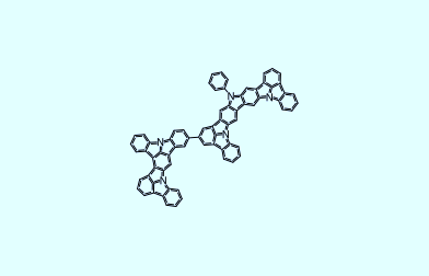 c1ccc(-n2c3cc4c5cccc6c7ccccc7n(c4cc3c3cc4c(cc32)c2cc(-c3ccc7c(c3)c3cc8c(c9cccc%10c%11ccccc%11n8c%109)c8c9ccccc9n7c38)cc3c7ccccc7n4c32)c65)cc1